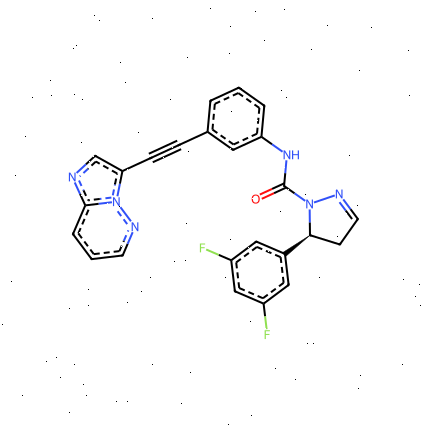 O=C(Nc1cccc(C#Cc2cnc3cccnn23)c1)N1N=CC[C@H]1c1cc(F)cc(F)c1